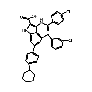 O=C(Nc1c(C(=O)O)[nH]c2cc(-c3ccc(C4CCCCC4)cc3)cc(Cc3cccc(Cl)c3)c12)c1ccc(Cl)cc1